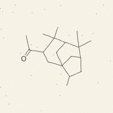 CC(=O)C1CC23CC(CC2C)C(C)(C)C(C3)C1(C)C